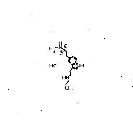 CCCNCCc1c[nH]c2ccc(CCS(=O)(=O)NC)cc12.Cl